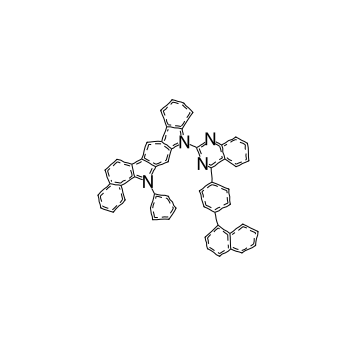 c1ccc(-n2c3cc4c(cc3c3ccc5ccccc5c32)c2ccccc2n4-c2nc(-c3ccc(-c4cccc5ccccc45)cc3)c3ccccc3n2)cc1